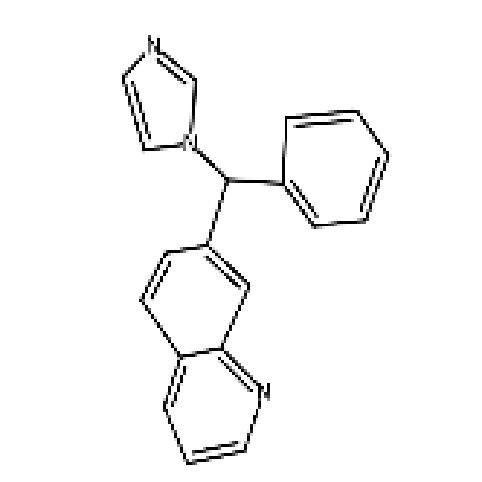 c1ccc(C(c2ccc3cccnc3c2)n2ccnc2)cc1